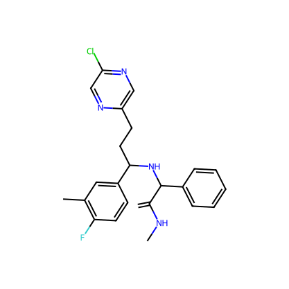 C=C(NC)C(NC(CCc1cnc(Cl)cn1)c1ccc(F)c(C)c1)c1ccccc1